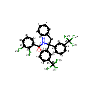 O=C(NC(Cc1ccccc1)(c1cccc(C(F)(F)F)c1)c1cccc(C(F)(F)F)c1)c1cccc(F)c1F